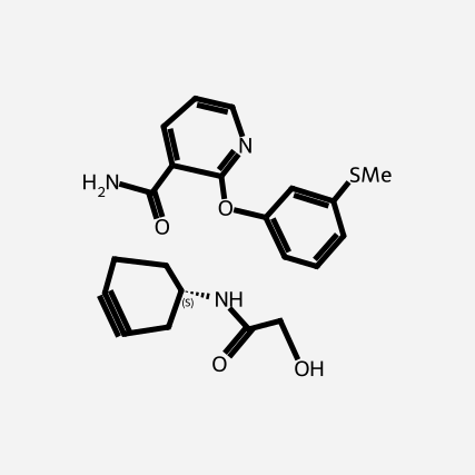 CSc1cccc(Oc2ncccc2C(N)=O)c1.O=C(CO)N[C@@H]1CC#CCC1